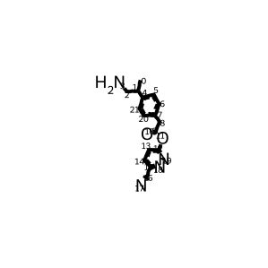 CC(CN)c1ccc(CC(=O)Oc2ccc(C#N)nn2)cc1